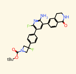 CC(C)(C)OC(=O)N1CC(F)(c2ccc(-c3cc(-c4ccc5c(c4)CCNC5=O)c(N)nc3F)cc2)C1